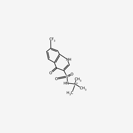 C[N+](C)(C)NS(=O)(=O)c1c[nH]c2cc(C(F)(F)F)ccc2c1=O